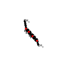 C/C=C/CCC1CCC(C2CC=C(c3ccc(-c4ccc(-c5ccc(OCCCCCCCCC)c(F)c5F)cc4)c(F)c3F)CC2)CC1